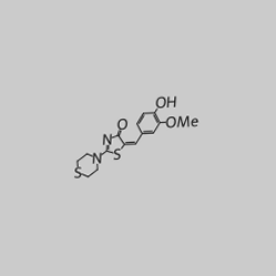 COc1cc(C=C2SC(N3CCSCC3)=NC2=O)ccc1O